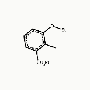 CCOC(=O)c1cccc(OCC)c1C